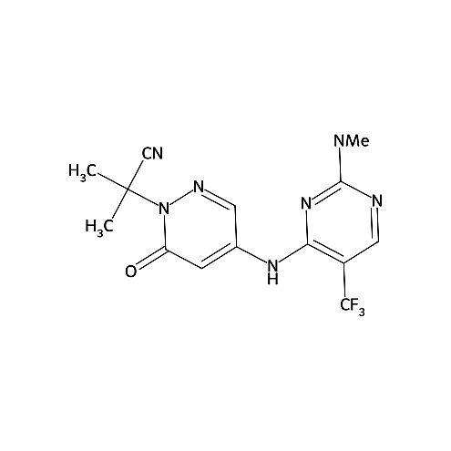 CNc1ncc(C(F)(F)F)c(Nc2cnn(C(C)(C)C#N)c(=O)c2)n1